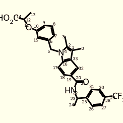 Cc1c(C)n(Cc2cccc(OC(C)C(=O)O)c2)c2ccc(C(=O)NC(C)c3ccc(C(F)(F)F)cc3)cc12